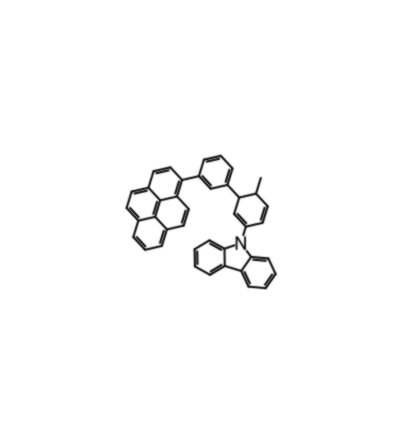 CC1C=CC(n2c3ccccc3c3ccccc32)=CC1c1cccc(-c2ccc3ccc4cccc5ccc2c3c45)c1